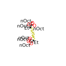 CCCCCCCCO[Si](OCCCCCCCC)(OCCCCCCCC)C(CC)SSSSSC(CC)[Si](OCCCCCCCC)(OCCCCCCCC)OCCCCCCCC